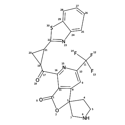 O=C1OC2(CCNC2)c2cc(C(F)(F)F)nc(C(=O)C3CC3c3nc4ccccc4s3)c21